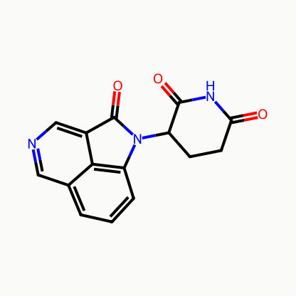 O=C1CCC(N2C(=O)c3cncc4cccc2c34)C(=O)N1